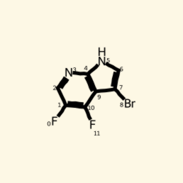 Fc1cnc2[nH]cc(Br)c2c1F